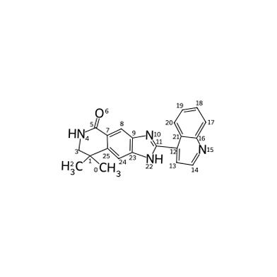 CC1(C)CNC(=O)c2cc3nc(-c4ccnc5ccccc45)[nH]c3cc21